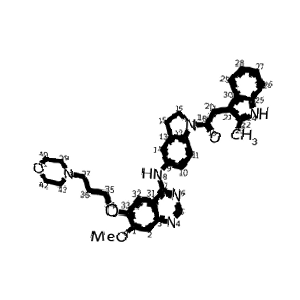 COc1cc2ncnc(Nc3ccc4c(c3)CCN4C(=O)Cc3c(C)[nH]c4ccccc34)c2cc1OCCCN1CCOCC1